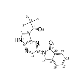 CC(C)(C)C(=O)c1c[nH]c2ncc(N3Cc4ccccc4C3=O)nc12